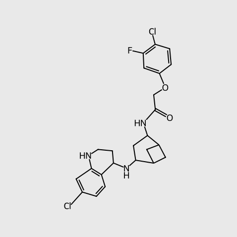 O=C(COc1ccc(Cl)c(F)c1)NC1CC(NC2CCNc3cc(Cl)ccc32)C2CC1C2